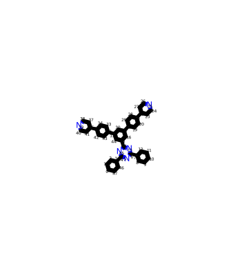 c1ccc(-c2nc(-c3ccccc3)nc(-c3cc(-c4ccc(-c5ccncc5)cc4)cc(-c4ccc(-c5ccncc5)cc4)c3)n2)cc1